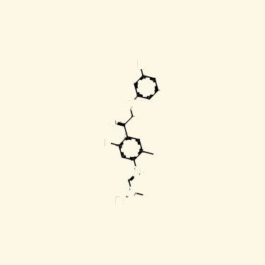 CCN(C)C=Nc1cc(F)c(C(=O)COc2cccc(F)c2)cc1C